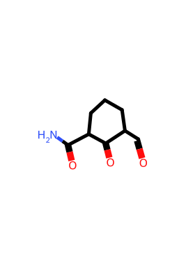 NC(=O)C1CCCC(C=O)C1=O